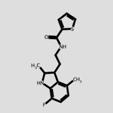 Cc1ccc(F)c2c1C(CCNC(=O)c1cccs1)C(C)N2